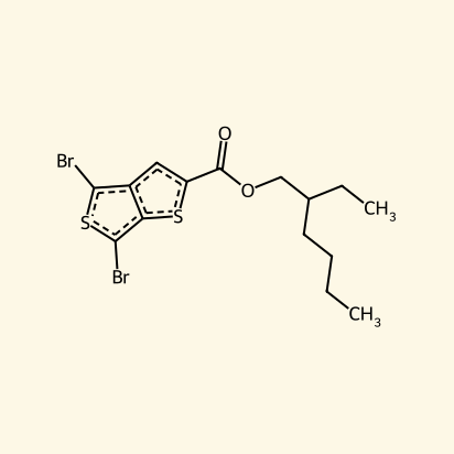 CCCCC(CC)COC(=O)c1cc2c(Br)sc(Br)c2s1